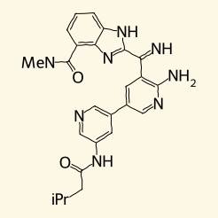 CNC(=O)c1cccc2[nH]c(C(=N)c3cc(-c4cncc(NC(=O)CC(C)C)c4)cnc3N)nc12